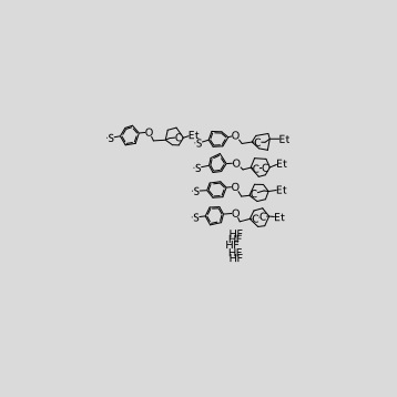 CCC12CCC(COc3ccc([S])cc3)(CC1)CC2.CCC12CCC(COc3ccc([S])cc3)(CC1)CC2.CCC12CCC(COc3ccc([S])cc3)(CC1)CC2.CCC12CCC(COc3ccc([S])cc3)(CC1)CC2.CCC12CCC(COc3ccc([S])cc3)(CC1)CC2.F.F.F.F.F